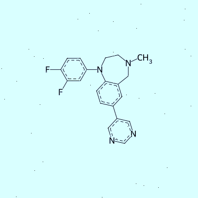 CN1CCN(c2ccc(F)c(F)c2)c2ccc(-c3cncnc3)cc2C1